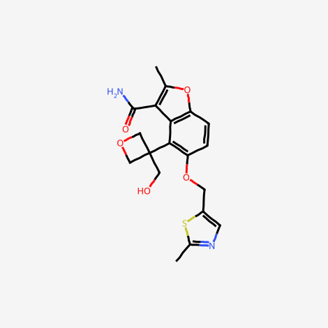 Cc1ncc(COc2ccc3oc(C)c(C(N)=O)c3c2C2(CO)COC2)s1